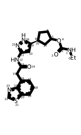 CCNC(=O)OC1CC[C@H](c2cc(NC(=O)Cc3cccc4scnc34)n[nH]2)C1